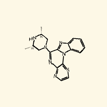 C[C@@H]1CN(c2nc3nccnc3n3c2nc2ccccc23)C[C@H](C)N1